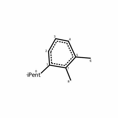 CCC[C](C)c1cccc(C)c1C